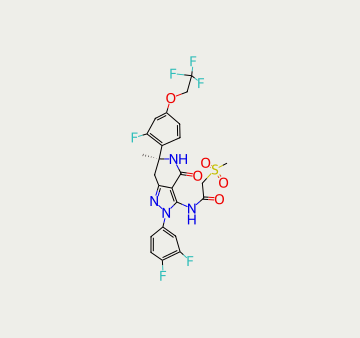 C[C@@]1(c2ccc(OCC(F)(F)F)cc2F)Cc2nn(-c3ccc(F)c(F)c3)c(NC(=O)CS(C)(=O)=O)c2C(=O)N1